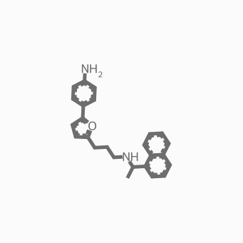 CC(NCCCc1ccc(-c2ccc(N)cc2)o1)c1cccc2ccccc12